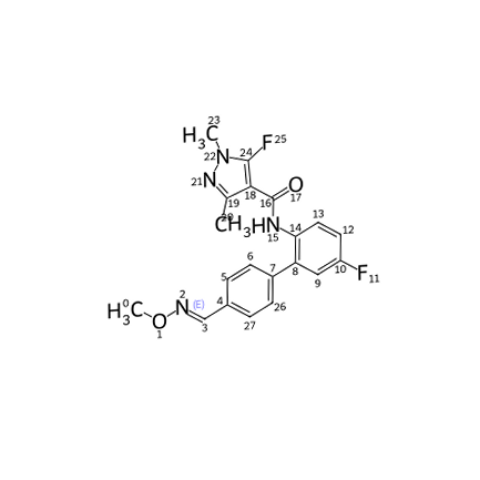 CO/N=C/c1ccc(-c2cc(F)ccc2NC(=O)c2c(C)nn(C)c2F)cc1